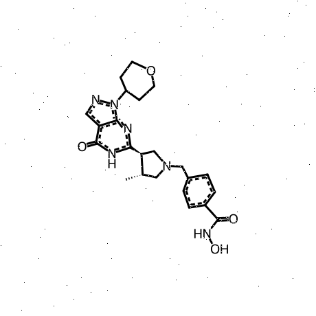 C[C@H]1CN(Cc2ccc(C(=O)NO)cc2)C[C@@H]1c1nc2c(cnn2C2CCOCC2)c(=O)[nH]1